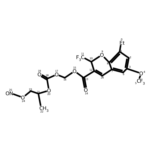 CCc1cc(OC(F)(F)F)cc2c1OC(C(F)(F)F)C(C(=O)OCOC(=O)OC(C)CON=O)=C2